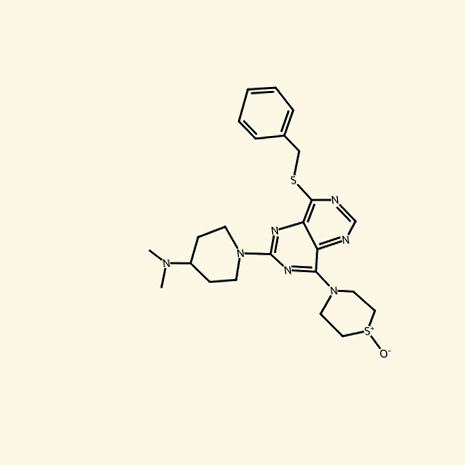 CN(C)C1CCN(c2nc(N3CC[S+]([O-])CC3)c3ncnc(SCc4ccccc4)c3n2)CC1